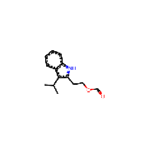 CC(C)c1c(CCOC=O)[nH]c2ccccc12